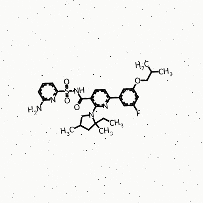 CCC1(C)CC(C)CN1c1nc(-c2cc(F)cc(OCC(C)C)c2)ccc1C(=O)NS(=O)(=O)c1cccc(N)n1